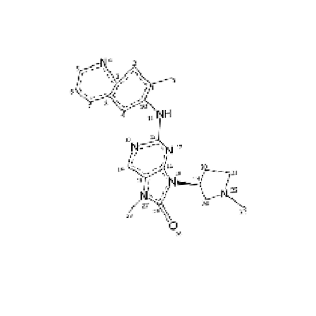 Cc1cc2ncccc2cc1Nc1ncc2c(n1)n([C@H]1CCN(C)C1)c(=O)n2C